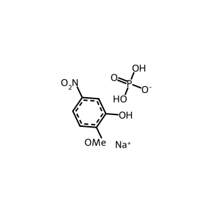 COc1ccc([N+](=O)[O-])cc1O.O=P([O-])(O)O.[Na+]